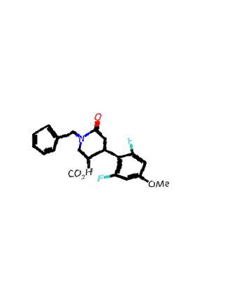 COc1cc(F)c(C2CC(=O)N(Cc3ccccc3)CC2C(=O)O)c(F)c1